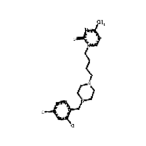 Cc1ccn(CCCCN2CCN(Cc3ccc(Cl)cc3Cl)CC2)c(=O)n1